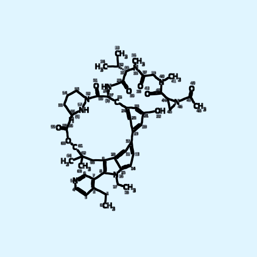 CCc1ccncc1-c1c2c3cc(ccc3n1CC)-c1cc(O)cc(c1)C[C@H](NC(=O)[C@H](C(C)C)N(C)C(=O)CN(C)C(=O)C1CN1C(C)=O)C(=O)N1CCC[C@H](N1)C(=O)OCC(C)(C)C2